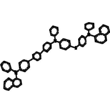 c1ccc(N(c2ccc(Sc3ccc(N(c4ccccc4)c4cccc5ccccc45)cc3)cc2)c2ccc(-c3ccc(-c4ccc(N(c5ccccc5)c5cccc6ccccc56)cc4)cc3)cc2)cc1